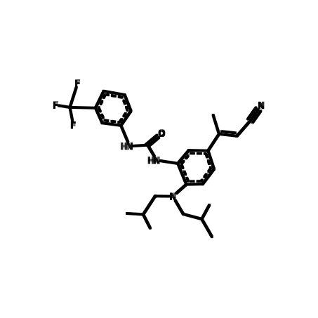 C/C(=C\C#N)c1ccc(N(CC(C)C)CC(C)C)c(NC(=O)Nc2cccc(C(F)(F)F)c2)c1